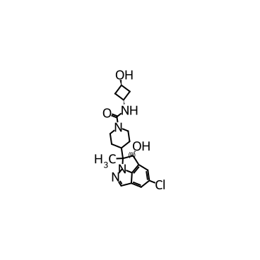 CC1(C2CCN(C(=O)N[C@H]3C[C@H](O)C3)CC2)[C@H](O)c2cc(Cl)cc3cnn1c23